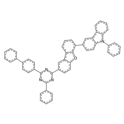 c1ccc(-c2ccc(-c3nc(-c4ccccc4)nc(-c4ccc5oc6c(-c7ccc8c(c7)c7ccccc7n8-c7ccccc7)cccc6c5c4)n3)cc2)cc1